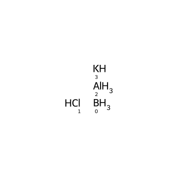 B.Cl.[AlH3].[KH]